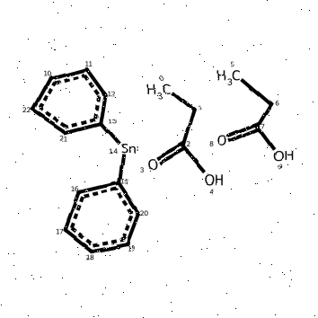 CCC(=O)O.CCC(=O)O.c1cc[c]([Sn][c]2ccccc2)cc1